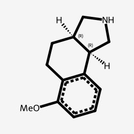 COc1cccc2c1CC[C@H]1CNC[C@@H]21